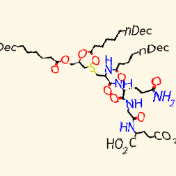 CCCCCCCCCCCCCCCC(=O)OC[C@H](CSCC(NC(=O)CCCCCCCCCCCCC)C(=O)N[C@H](CCC(N)=O)C(=O)NCC(=O)N[C@@H](CCC(=O)O)C(=O)O)OC(=O)CCCCCCCCCCCCCCC